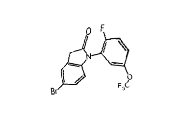 O=C1Cc2cc(Br)ccc2N1c1cc(OC(F)(F)F)ccc1F